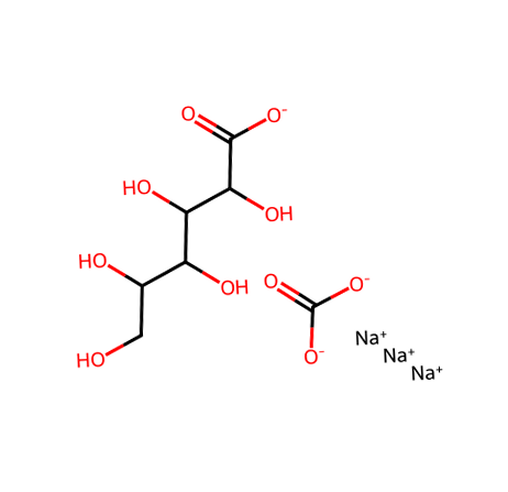 O=C([O-])C(O)C(O)C(O)C(O)CO.O=C([O-])[O-].[Na+].[Na+].[Na+]